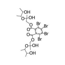 CC(O)C(C)OC(C)(O)COC(=O)c1c(Br)c(Br)c(Br)c(Br)c1C(=O)OCC(C)(O)OC(C)C(C)O